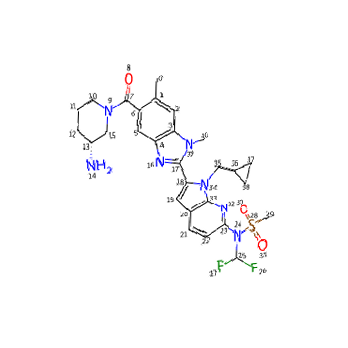 Cc1cc2c(cc1C(=O)N1CCC[C@@H](N)C1)nc(-c1cc3ccc(N(C(F)F)S(C)(=O)=O)nc3n1CC1CC1)n2C